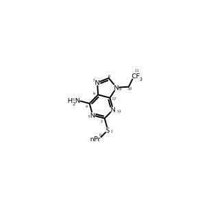 CCCSc1nc(N)c2ncn(CC(F)(F)F)c2n1